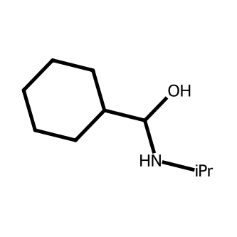 CC(C)NC(O)C1CCCCC1